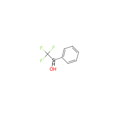 O[SiH](c1ccccc1)C(F)(F)F